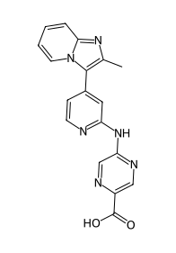 Cc1nc2ccccn2c1-c1ccnc(Nc2cnc(C(=O)O)cn2)c1